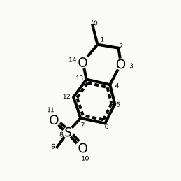 [CH2]C1COc2ccc(S(C)(=O)=O)cc2O1